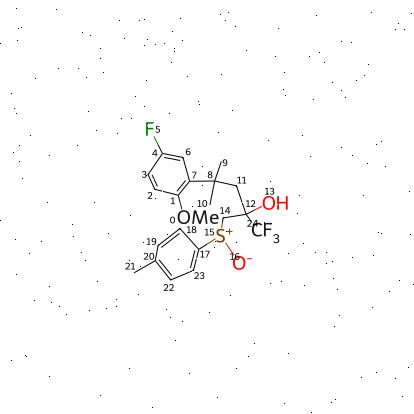 COc1ccc(F)cc1C(C)(C)CC(O)(C[S+]([O-])c1ccc(C)cc1)C(F)(F)F